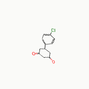 O=C1CC(=O)CC(c2ccc(Cl)cc2)C1